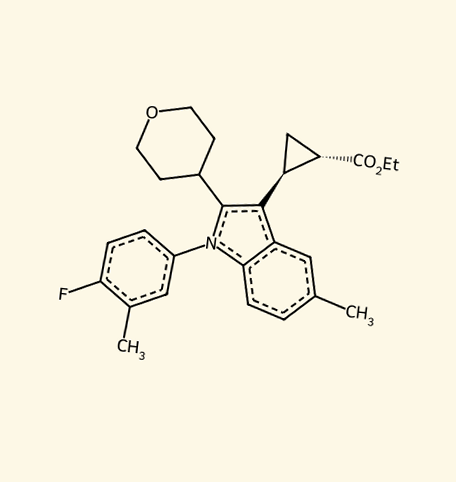 CCOC(=O)[C@H]1C[C@@H]1c1c(C2CCOCC2)n(-c2ccc(F)c(C)c2)c2ccc(C)cc12